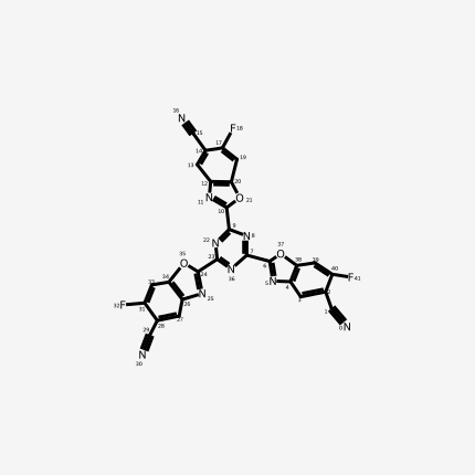 N#Cc1cc2nc(-c3nc(-c4nc5cc(C#N)c(F)cc5o4)nc(-c4nc5cc(C#N)c(F)cc5o4)n3)oc2cc1F